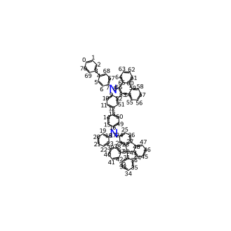 c1ccc(-c2ccc(-n3c4ccc(-c5ccc(N(c6ccccc6)c6ccc7c(c6)C(c6ccccc6)(c6ccccc6)c6ccccc6-7)cc5)cc4c4c5ccccc5c5ccccc5c43)cc2)cc1